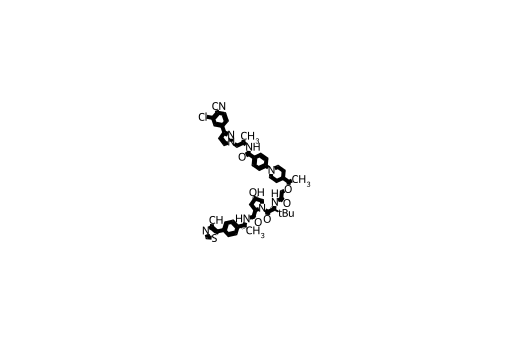 Cc1ncsc1-c1ccc([C@H](C)NC(=O)C2C[C@@H](O)CN2C(=O)[C@@H](NC(=O)COC(C)C2CCN(c3ccc(C(=O)NC(C)Cn4ccc(-c5ccc(C#N)c(Cl)c5)n4)cc3)CC2)C(C)(C)C)cc1